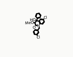 COC1C(=O)N(Cc2cccc(Cl)c2)c2ccc(Cl)cc2C1(O)c1ccccc1